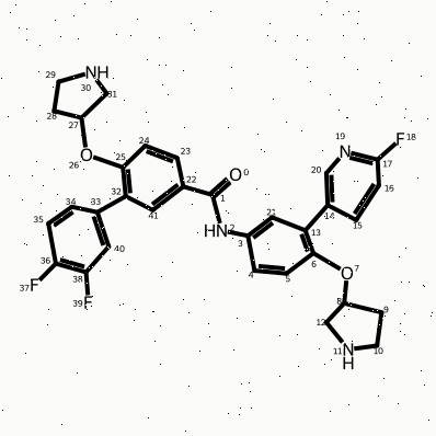 O=C(Nc1ccc(OC2CCNC2)c(-c2ccc(F)nc2)c1)c1ccc(OC2CCNC2)c(-c2ccc(F)c(F)c2)c1